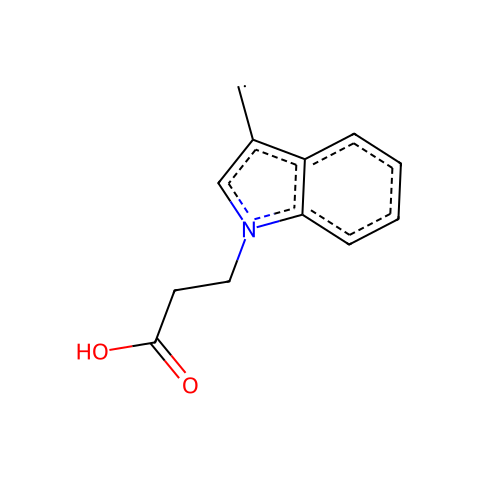 [CH2]c1cn(CCC(=O)O)c2ccccc12